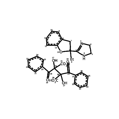 CCC1(C2=NCCN2)Cc2ccccc2O1.O=C(O)C(O)(C(=O)c1ccccc1)C(O)(C(=O)O)C(=O)c1ccccc1